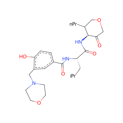 CCCC1COCC(=O)[C@H]1NC(=O)[C@H](CC(C)C)NC(=O)c1ccc(O)c(CN2CCOCC2)c1